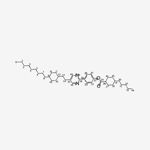 CCCCCCCCCC1CCC(CCc2cnc(-c3ccc(OC(=O)C4CCC(CCCCC)CC4)cc3)nc2)CC1